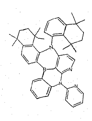 CC1(C)CCC(C)(C)c2c(N3c4ccnc5c4B(c4ccccc4N5c4ccccn4)c4ccc5c(c43)C(C)(C)CCC5(C)C)cccc21